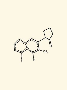 Cc1c(N2CCCC2=O)nc2cccc(F)c2c1Cl